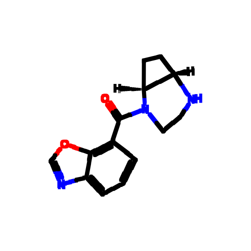 O=C(c1cccc2ncoc12)N1CCN[C@H]2CC[C@@H]21